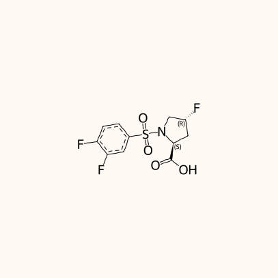 O=C(O)[C@@H]1C[C@@H](F)CN1S(=O)(=O)c1ccc(F)c(F)c1